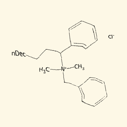 CCCCCCCCCCCCC(c1ccccc1)[N+](C)(C)Cc1ccccc1.[Cl-]